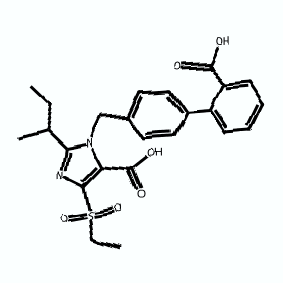 CCC(C)c1nc(S(=O)(=O)CC)c(C(=O)O)n1Cc1ccc(-c2ccccc2C(=O)O)cc1